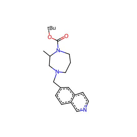 CC1CN(Cc2ccc3cnccc3c2)CCCN1C(=O)OC(C)(C)C